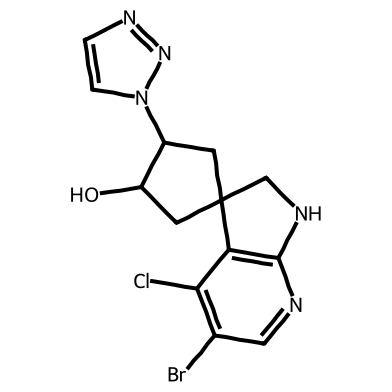 OC1CC2(CNc3ncc(Br)c(Cl)c32)CC1n1ccnn1